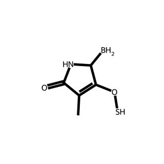 BC1NC(=O)C(C)=C1OS